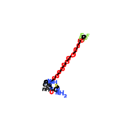 CCCN(CCCN/C(=N\c1cccc(C#N)c1)NCCOCCOCCOCCOCCOCCOCCOCCOCCOCCOCCC(=O)Oc1c(F)c(F)cc(F)c1F)C(=O)C1=Cc2sccc2N=C(N)C1